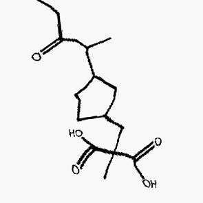 CCC(=O)C(C)C1CCC(CC(C)(C(=O)O)C(=O)O)C1